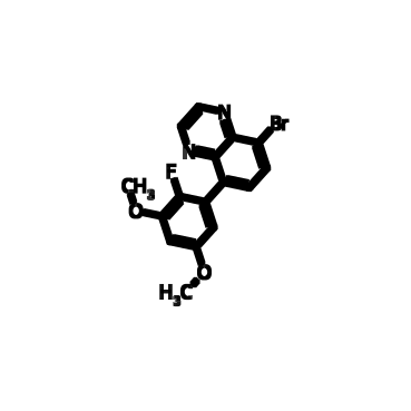 COc1cc(OC)c(F)c(-c2ccc(Br)c3nccnc23)c1